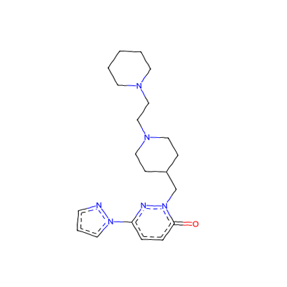 O=c1ccc(-n2cccn2)nn1CC1CCN(CCN2CCCCC2)CC1